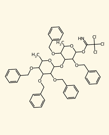 CC1OC(OC2C(OCc3ccccc3)C(C)OC(OC(=N)C(Cl)(Cl)Cl)C2OCc2ccccc2)C(OCc2ccccc2)C(OCc2ccccc2)C1OCc1ccccc1